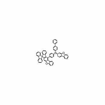 C1=c2oc3ccccc3c2=CCC1N(c1ccc(-c2ccccc2)cc1)c1ccc(-c2c3c(cc4oc5ccccc5c24)C2(c4ccccc4-c4ccccc42)c2ccccc2-3)cc1